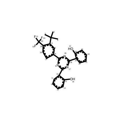 CC(C)(C)c1cc(-c2nc(-c3ccccc3O)nc(-c3ccccc3O)n2)ccc1C(F)(F)F